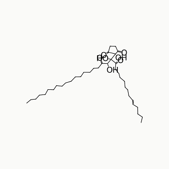 CCCC/C=C/CCCCCCCC(=O)C(O)(C(O)C(=O)CCCCCCCCCCCCCCCCC)C1(O)C(=O)CCC1=O